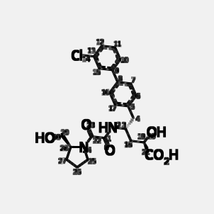 O=C(N[C@H](Cc1ccc(-c2cccc(Cl)c2)cc1)C[C@@H](O)C(=O)O)C(=O)N1CCC[C@H]1CO